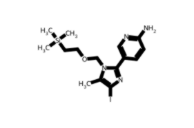 Cc1c(I)nc(-c2ccc(N)nc2)n1COCC[Si](C)(C)C